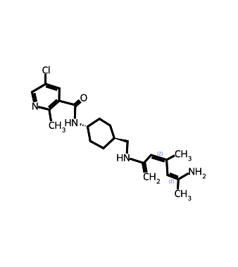 C=C(/C=C(C)\C=C(\C)N)NC[C@H]1CC[C@H](NC(=O)c2cc(Cl)cnc2C)CC1